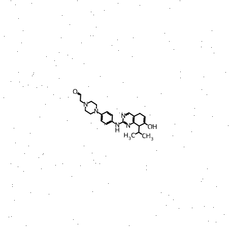 CC(C)C1C(O)=CCc2cnc(Nc3ccc(N4CCN(CC=O)CC4)cc3)nc21